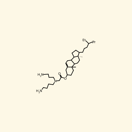 CCC(CCCC1CCC2C3CC=C4CC(OC(=O)CN(CCCN)CCCCN)CCC4(C)C3CC[C@]12C)C(C)C